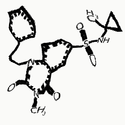 Cn1c(=O)c2cc(S(=O)(=O)NC3(C)CC3)ccc2n(Cc2ccccc2)c1=O